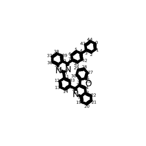 c1ccc(-c2ccc(-c3nc(-c4cccc(-c5nc6ccccc6c6oc7ccccc7c56)c4)nc4ccccc34)cc2)cc1